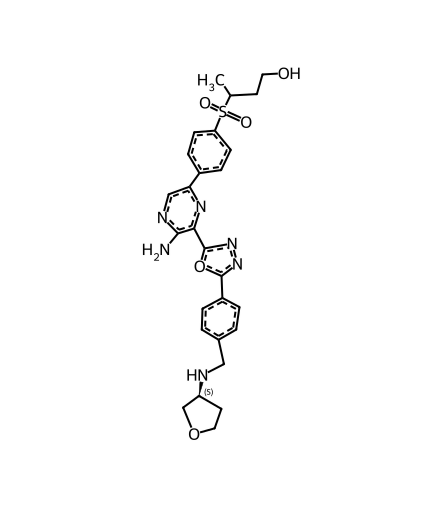 CC(CCO)S(=O)(=O)c1ccc(-c2cnc(N)c(-c3nnc(-c4ccc(CN[C@H]5CCOC5)cc4)o3)n2)cc1